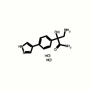 Cl.Cl.NCC(O)(C(N)=O)c1ccc(-c2cn[nH]c2)cc1